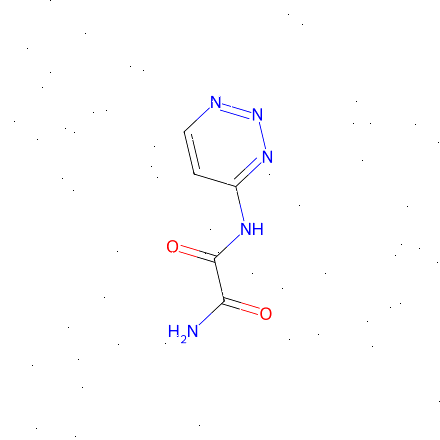 NC(=O)C(=O)Nc1ccnnn1